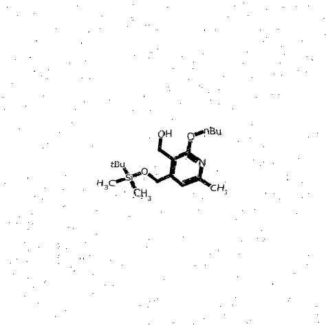 CCCCOc1nc(C)cc(CO[Si](C)(C)C(C)(C)C)c1CO